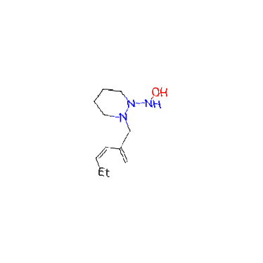 C=C(/C=C\CC)CN1CCCCN1NO